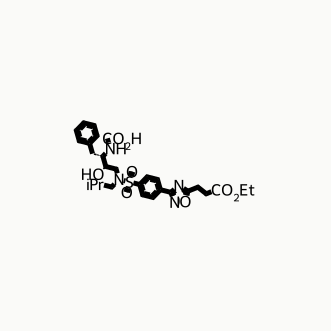 CCOC(=O)CCc1nc(-c2ccc(S(=O)(=O)N(CC(C)C)C[C@H](O)[C@H](Cc3ccccc3)NC(=O)O)cc2)no1